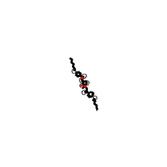 CCCCCCOc1ccc(C(=O)CC2CO[C@@]3(C)C(OC(=O)c4ccc(OCCCCCC)cc4)CO[C@@]23C)cc1